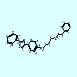 c1ccc(CCNCCCOc2ccc(-c3csc(-c4ccccc4)n3)cc2)cc1